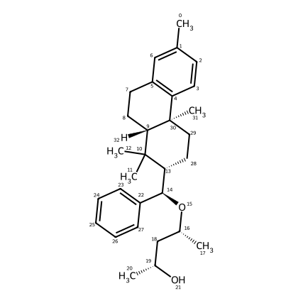 Cc1ccc2c(c1)CC[C@H]1C(C)(C)[C@@H]([C@@H](O[C@H](C)C[C@@H](C)O)c3ccccc3)CC[C@]21C